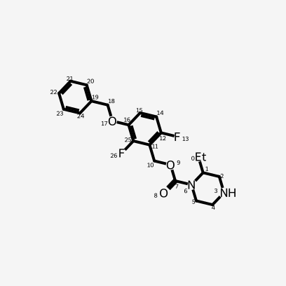 CCC1CNCCN1C(=O)OCc1c(F)ccc(OCc2ccccc2)c1F